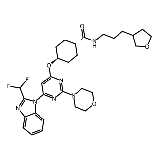 O=C(NCCCC1CCOC1)[C@H]1CC[C@H](Oc2cc(-n3c(C(F)F)nc4ccccc43)nc(N3CCOCC3)n2)CC1